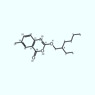 CCCCC(CC)COc1nc2ccc(C)cc2c(=O)o1